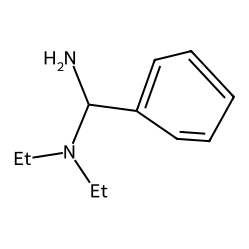 CCN(CC)C(N)c1ccccc1